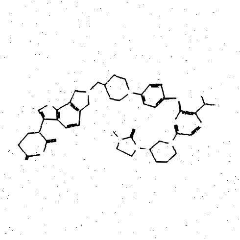 CN1CCN([C@@H]2CCCN(c3cnc(C(N)O)c(Nc4ccc(N5CCC(CN6Cc7ccc8c(C9CCC(=O)NC9=O)coc8c7C6)CC5)cc4)n3)C2)C1=O